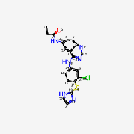 C=CC(=O)Nc1ccc2ncnc(Nc3ccc(Sc4ncc[nH]4)c(Cl)c3)c2c1